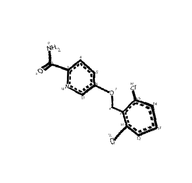 NC(=O)c1ccc(OCc2c(Cl)cccc2Cl)cn1